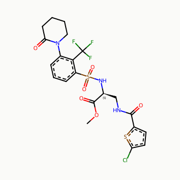 COC(=O)[C@H](CNC(=O)c1ccc(Cl)s1)NS(=O)(=O)c1cccc(N2CCCCC2=O)c1C(F)(F)F